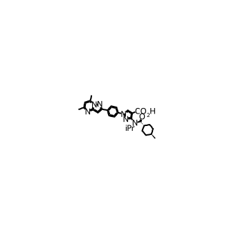 Cc1cc(C)n2nc(-c3ccc(-n4cc(C(=O)O)c(N(C(=O)[C@H]5CC[C@H](C)CC5)C(C)C)n4)cc3)cc2n1